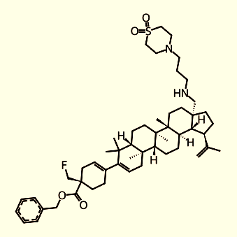 C=C(C)[C@@H]1CC[C@]2(CNCCCN3CCS(=O)(=O)CC3)CC[C@]3(C)[C@H](CC[C@@H]4[C@@]5(C)CC=C(C6=CC[C@@](CF)(C(=O)OCc7ccccc7)CC6)C(C)(C)[C@@H]5CC[C@]43C)[C@@H]12